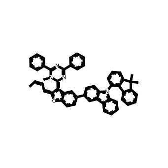 C\C=C/C=c1/oc2ccc(-c3ccc4c(c3)c3ccccc3n4-c3cccc4c3-c3ccccc3C4(C)C)cc2/c1=C1\N=C(c2ccccc2)N=C(c2ccccc2)N1C